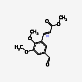 COC(=O)/C=C/c1cc(C=O)cc(OC)c1OC